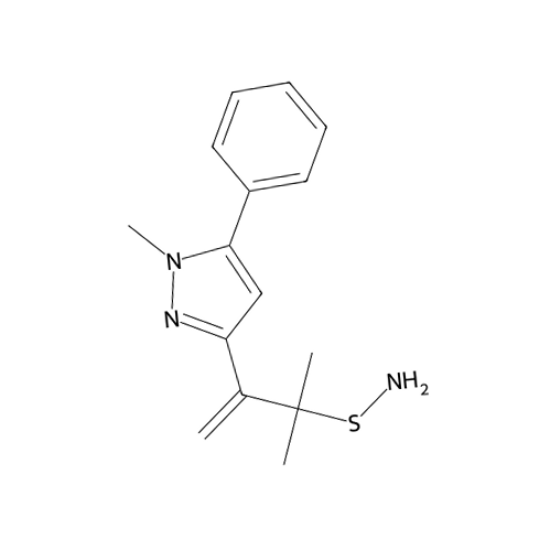 C=C(c1cc(-c2ccccc2)n(C)n1)C(C)(C)SN